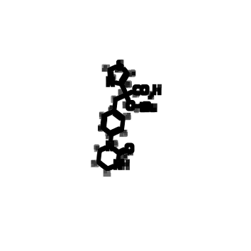 CC(C)(C)OC(Cc1ccc(N2CCCNC2=O)cc1)(C(=O)O)c1cscn1